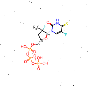 O=c1[nH]c(=S)c(F)cn1[C@@H]1O[C@H](COP(=O)(O)OP(=O)(O)OP(=O)(O)O)CC1(F)C(F)(F)F